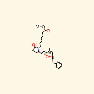 COC(=O)CCCCCCN1C(=O)CC[C@@H]1C=C[C@@H](O)[C@@H](C)CC#CCc1ccccc1